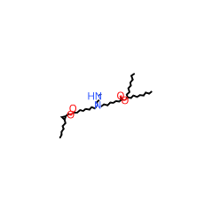 CCCCCCCCC(CCCCCCCC)OC(=O)CCCCCCCN(CCCCCCCC(=O)OCC1CC1CCCCCC)CCNC